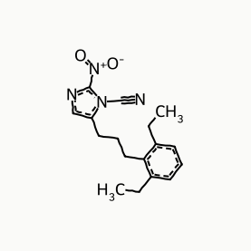 CCc1cccc(CC)c1CCCc1cnc([N+](=O)[O-])n1C#N